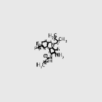 C=CC(C)CN(Cc1ccc(C(F)(F)F)cc1)c1ccc(NC(=O)OCC)c(N)c1F